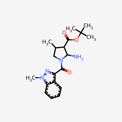 CC1CN(C(=O)c2nn(C)c3ccccc23)C(N)C1C(=O)OC(C)(C)C